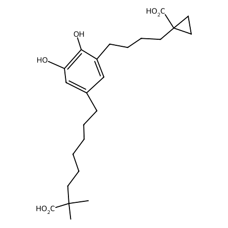 CC(C)(CCCCCCc1cc(O)c(O)c(CCCCC2(C(=O)O)CC2)c1)C(=O)O